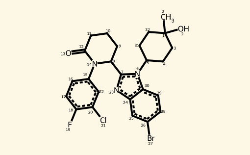 CC1(O)CCC(n2c(C3CCCC(=O)N3c3ccc(F)c(Cl)c3)nc3cc(Br)ccc32)CC1